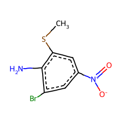 CSc1cc([N+](=O)[O-])cc(Br)c1N